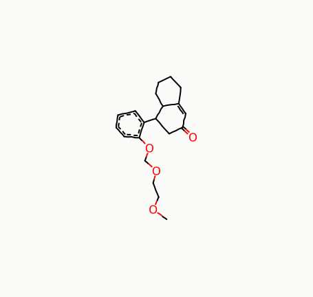 COCCOCOc1ccccc1C1CC(=O)C=C2CCCCC21